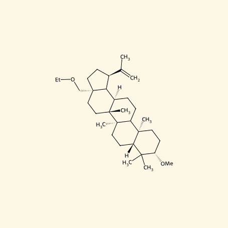 C=C(C)[C@@H]1CC[C@]2(COCC)CC[C@]3(C)[C@H](CCC4[C@@]5(C)CC[C@H](OC)C(C)(C)[C@@H]5CC[C@]43C)C12